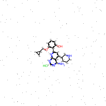 Cl.Nc1ncnc2nc(-c3c(O)cccc3OCC3CC3)cc(C3CCCNC3)c12